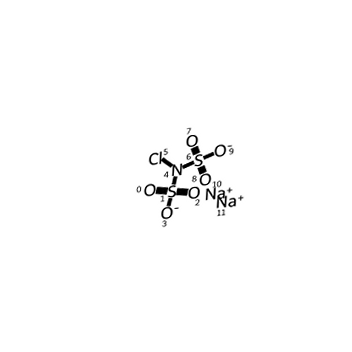 O=S(=O)([O-])N(Cl)S(=O)(=O)[O-].[Na+].[Na+]